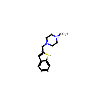 O=C(O)N1CCN(Cc2cc3ccccc3s2)CC1